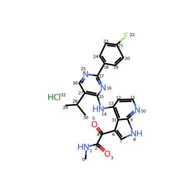 CNC(=O)C(=O)c1c[nH]c2nccc(Nc3nc(-c4ccc(F)cc4)ncc3C(C)C)c12.Cl